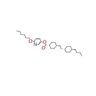 CCCCCCOc1ccc(OC(=O)[C@H]2CC[C@H](CC[C@H]3CC[C@H](CCCC)CC3)CC2)cn1